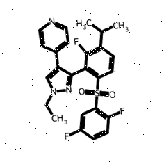 CCn1cc(-c2ccncc2)c(-c2c(S(=O)(=O)c3cc(F)ccc3F)[c]cc(C(C)C)c2F)n1